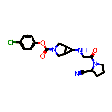 N#CC1CCCN1C(=O)CNC1C2CN(C(=O)Oc3ccc(Cl)cc3)CC21